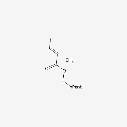 CC=CC(=O)OCCCCCC.[CH3]